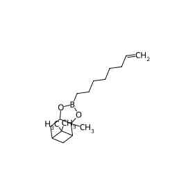 C=CCCCCCCB1OC2CC3CC(C3(C)C)C2(C)O1